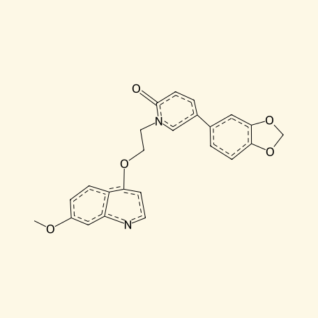 COc1ccc2c(OCCn3cc(-c4ccc5c(c4)OCO5)ccc3=O)ccnc2c1